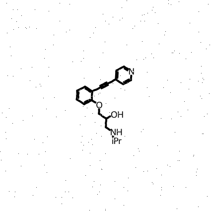 CC(C)NCC(O)COc1ccccc1C#Cc1ccncc1